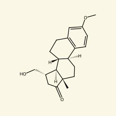 COc1ccc2c(c1)CC[C@H]1[C@@H]3[C@@H](CO)CC(=O)[C@@]3(C)CC[C@H]21